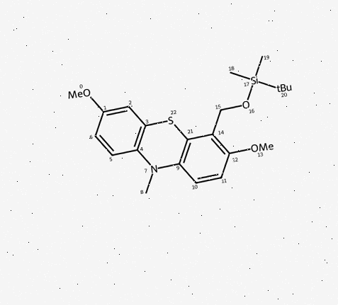 COc1[c]c2c(cc1)N(C)c1ccc(OC)c(CO[Si](C)(C)C(C)(C)C)c1S2